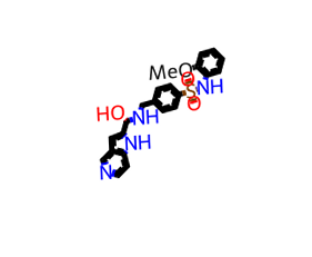 COc1ccccc1NS(=O)(=O)c1ccc(CNC(O)c2cc3cnccc3[nH]2)cc1